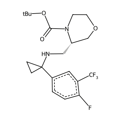 CC(C)(C)OC(=O)N1CCOC[C@@H]1CNC1(c2ccc(F)c(C(F)(F)F)c2)CC1